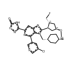 CCO[C@@H]1C[C@@H](CF)N(c2nc3cc(-c4noc(=O)[nH]4)nc(-c4cncc(Cl)c4)c3n2C[C@H]2CC[C@H](C)CC2)C1